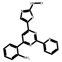 CCNc1ncc(-c2cc(-c3ccccc3N)nc(-c3ccccn3)n2)s1